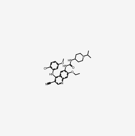 CCOc1cc2ncc(C#N)c(Nc3cc(OC)ccc3Cl)c2cc1NC(=O)NC1CCN(C(C)C)CC1